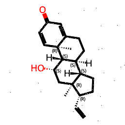 C=C[C@H]1CC[C@H]2[C@@H]3CCC4=CC(=O)C=C[C@]4(C)[C@H]3[C@@H](O)C[C@]12C